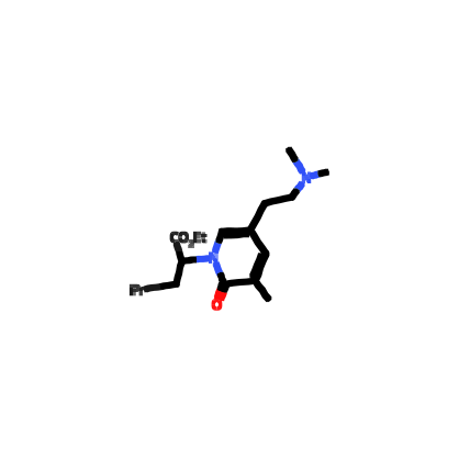 CCOC(=O)C(CC(C)C)n1cc(CCN(C)C)cc(C)c1=O